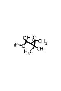 CC(C)OC(=O)C1C(C)(C)C1(C)C